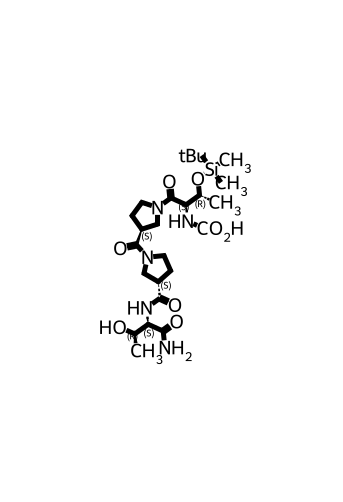 C[C@@H](O)[C@H](NC(=O)[C@H]1CCN(C(=O)[C@H]2CCN(C(=O)[C@@H](NC(=O)O)[C@@H](C)O[Si](C)(C)C(C)(C)C)C2)C1)C(N)=O